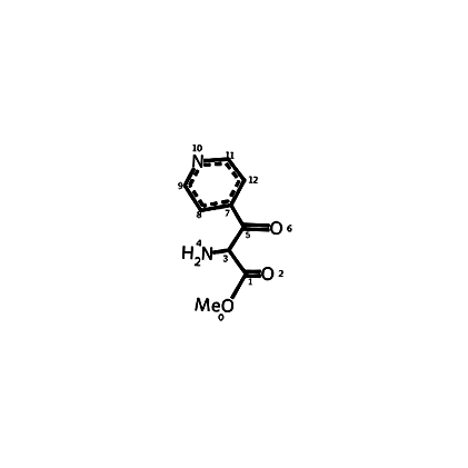 COC(=O)C(N)C(=O)c1ccncc1